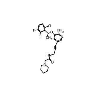 CC(Oc1cc(C#CCNC(=O)CN2CCCCC2)cnc1N)c1c(Cl)ccc(F)c1Cl